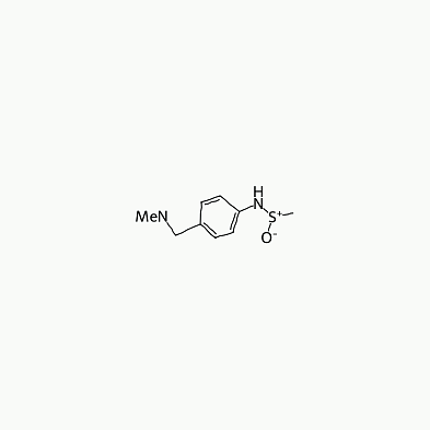 CNCc1ccc(N[S+](C)[O-])cc1